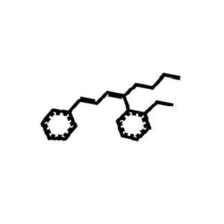 CCCCC(=CC=Cc1ccccc1)c1ccccc1CC